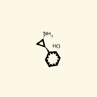 Cl.N[C@H]1C[C@@H]1c1ccccc1